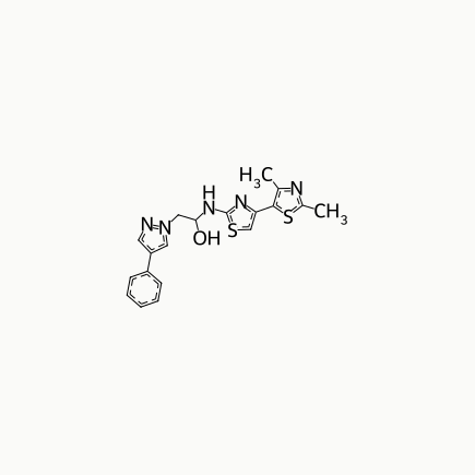 Cc1nc(C)c(-c2csc(NC(O)Cn3cc(-c4ccccc4)cn3)n2)s1